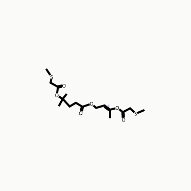 CSCC(=O)O/C(C)=C/COC(=O)CCC(C)(C)OC(=O)CSC